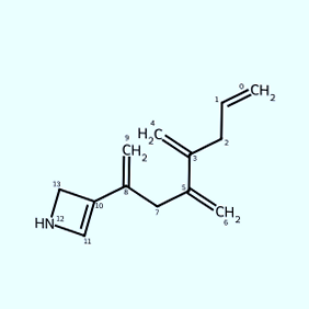 C=CCC(=C)C(=C)CC(=C)C1=CNC1